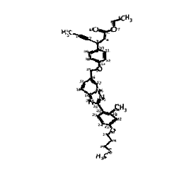 CC#CC(CC(=O)OCC)c1ccc(OCc2ccc3nc(-c4ccc(OCCCSC)cc4C)nn3c2)cc1